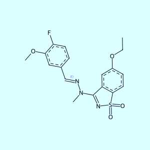 CCOc1ccc2c(c1)C(N(C)/N=C/c1ccc(F)c(OC)c1)=NS2(=O)=O